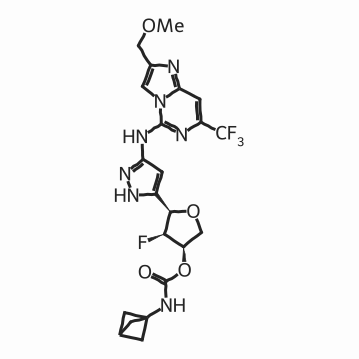 COCc1cn2c(Nc3cc([C@H]4OC[C@@H](OC(=O)NC56CC(C5)C6)[C@H]4F)[nH]n3)nc(C(F)(F)F)cc2n1